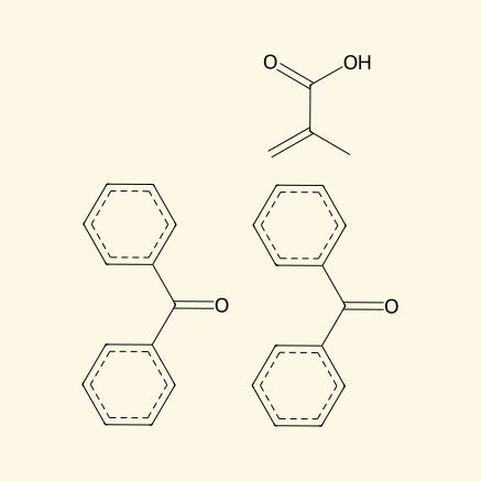 C=C(C)C(=O)O.O=C(c1ccccc1)c1ccccc1.O=C(c1ccccc1)c1ccccc1